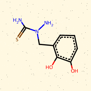 NC(=S)N(N)Cc1cccc(O)c1O